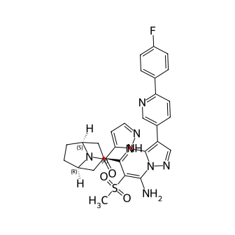 CS(=O)(=O)c1c([C@H]2C[C@H]3CC[C@@H](C2)N3C(=O)c2ccn[nH]2)nc2c(-c3ccc(-c4ccc(F)cc4)nc3)cnn2c1N